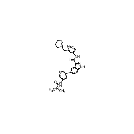 CN(C)C(=O)Nc1cncc(-c2ccc3[nH]nc(C(=O)Nc4ccnc(CN5CCCCC5)c4)c3c2)c1